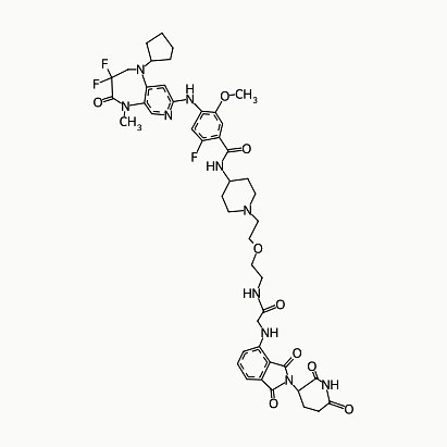 COc1cc(C(=O)NC2CCN(CCOCCNC(=O)CNc3cccc4c3C(=O)N(C3CCC(=O)NC3=O)C4=O)CC2)c(F)cc1Nc1cc2c(cn1)N(C)C(=O)C(F)(F)CN2C1CCCC1